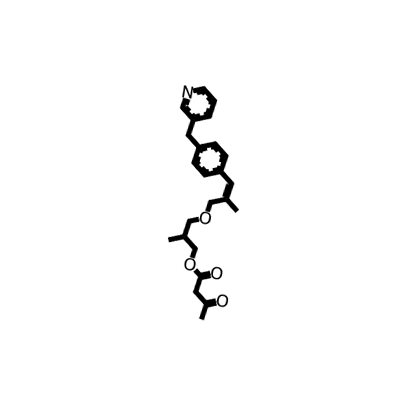 CC(=O)CC(=O)OCC(C)COCC(C)=Cc1ccc(Cc2cccnc2)cc1